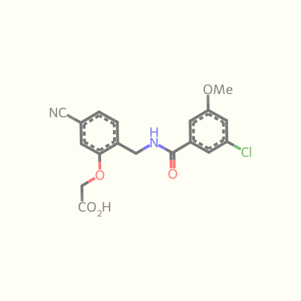 COc1cc(Cl)cc(C(=O)NCc2ccc(C#N)cc2OCC(=O)O)c1